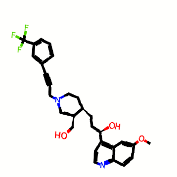 COc1ccc2nccc([C@H](O)CC[C@@H]3CCN(CC#Cc4cccc(C(F)(F)F)c4)C[C@@H]3CO)c2c1